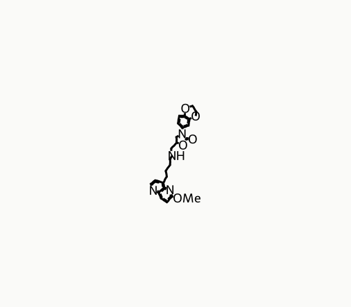 COc1ccc2nccc(CCCCNCC3CN(c4ccc5c(c4)OCCO5)C(=O)O3)c2n1